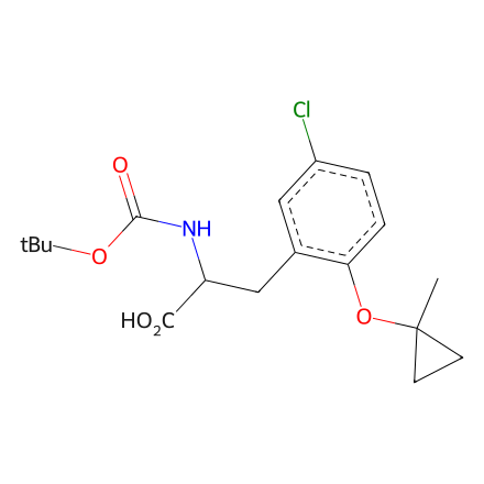 CC(C)(C)OC(=O)NC(Cc1cc(Cl)ccc1OC1(C)CC1)C(=O)O